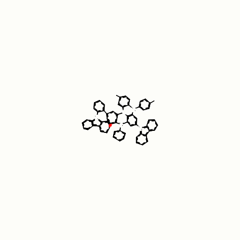 Cc1ccc(N2c3ccc(C)cc3B3c4cc(-c5ccccc5-n5c6ccccc6c6ccccc65)ccc4N(c4ccccc4)c4cc(-n5c6ccccc6c6ccccc65)cc2c43)cc1